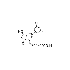 O=C(O)CCC/C=C\C[C@@H]1[C@@H](CNc2cc(Cl)cc(Cl)c2)[C@H](O)C[C@H]1Cl